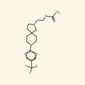 CC(=O)OCCN1CCC2(CCN(c3ncc(C(F)(F)F)cn3)CC2)C1